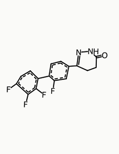 O=C1CCC(c2ccc(-c3ccc(F)c(F)c3F)c(F)c2)=NN1